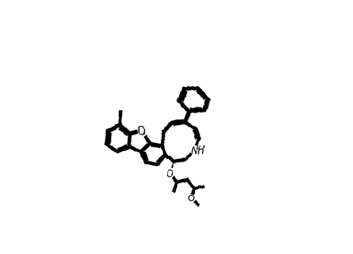 COC(C)CC(C)O[C@H]1CN/C=C\C(c2ccccc2)=C/Cc2c1ccc1c2oc2c(C)cccc21